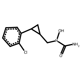 NC(=O)N(O)CC1CC1c1ccccc1Cl